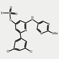 CCS(=O)(=O)Oc1cc(Nc2cnc(SC)nc2)nc(-c2cc(Cl)cc(Cl)c2)c1